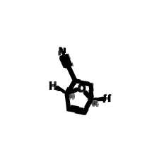 N#CC1C[C@@H]2C=C[C@H]1O2